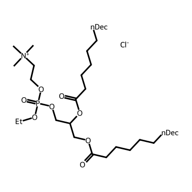 CCCCCCCCCCCCCCCC(=O)OCC(COP(=O)(OCC)OCC[N+](C)(C)C)OC(=O)CCCCCCCCCCCCCCC.[Cl-]